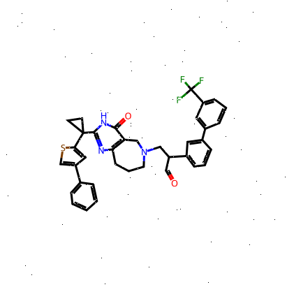 O=CC(CN1CCCc2nc(C3(c4cc(-c5ccccc5)cs4)CC3)[nH]c(=O)c2C1)c1cccc(-c2cccc(C(F)(F)F)c2)c1